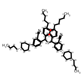 CCCCCc1ccc(C(SC(c2ccc(CCCCC)cc2)c2ccc([C@H]3CC[C@H](CCCC)CC3)cc2C#N)c2ccc([C@H]3CC[C@H](CCCC)CC3)cc2C#N)cc1